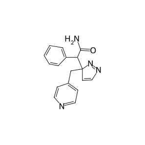 NC(=O)C(c1ccccc1)C1(Cc2ccncc2)C=CN=N1